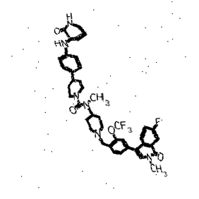 CN(C(=O)N1CCC(c2ccc(NC3CCCNC3=O)cc2)CC1)C1CCN(Cc2ccc(-c3cn(C)c(=O)c4cc(F)ccc34)cc2OC(F)(F)F)CC1